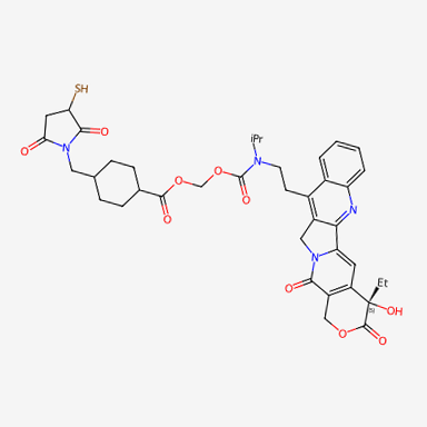 CC[C@@]1(O)C(=O)OCc2c1cc1n(c2=O)Cc2c-1nc1ccccc1c2CCN(C(=O)OCOC(=O)C1CCC(CN2C(=O)CC(S)C2=O)CC1)C(C)C